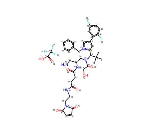 CC(C)(C)[C@H](c1cc(-c2cc(F)ccc2F)cn1Cc1ccccc1)N(C[C@H](CN)NC(=O)CCC(=O)NCCN1C(=O)C=CC1=O)C(=O)CO.O=C(O)C(F)(F)F